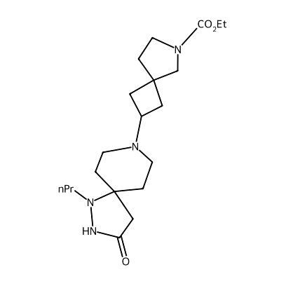 CCCN1NC(=O)CC12CCN(C1CC3(CCN(C(=O)OCC)C3)C1)CC2